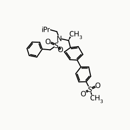 CC(C)CN([C@@H](C)c1ccc(-c2ccc(S(C)(=O)=O)cc2)cc1)S(=O)(=O)Cc1ccccc1